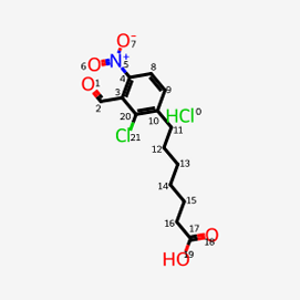 Cl.O=Cc1c([N+](=O)[O-])ccc(CCCCCCC(=O)O)c1Cl